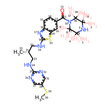 BC1(B)NC(B)(B)C(B)(B)N(C(=O)c2ccc3nc(NC[C@@H](C)CNc4ncc(SC)cn4)sc3c2)C1(B)B